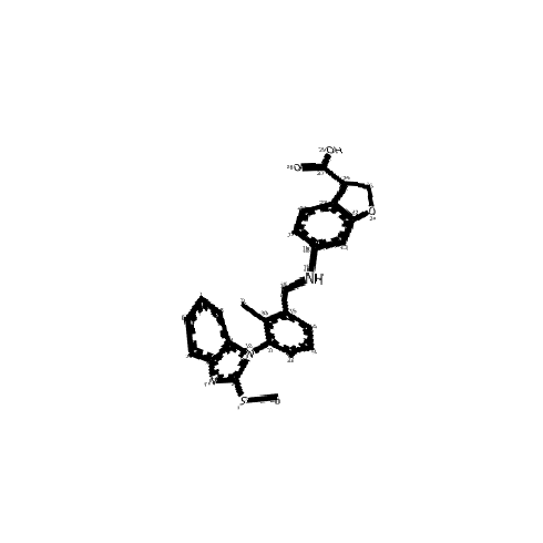 CSc1nc2ccccc2n1-c1cccc(CNc2ccc3c(c2)OCC3C(=O)O)c1C